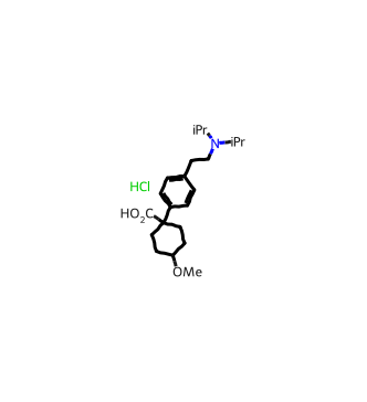 COC1CCC(C(=O)O)(c2ccc(CCN(C(C)C)C(C)C)cc2)CC1.Cl